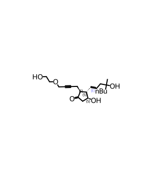 CCCCC(C)(O)C/C=C/[C@H]1[C@H](CC#CCOCCO)C(=O)C[C@@H]1O